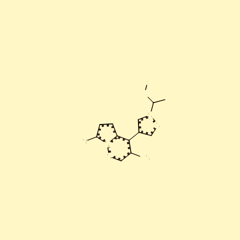 CCOC(C)n1cc(-c2c(C#N)cnn3c([N+](=O)[O-])ccc23)cn1